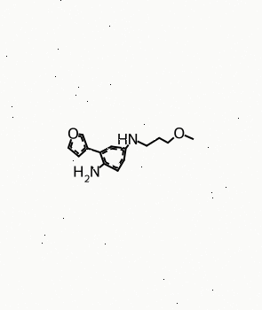 COCCCNc1ccc(N)c(-c2ccoc2)c1